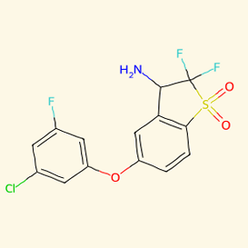 NC1c2cc(Oc3cc(F)cc(Cl)c3)ccc2S(=O)(=O)C1(F)F